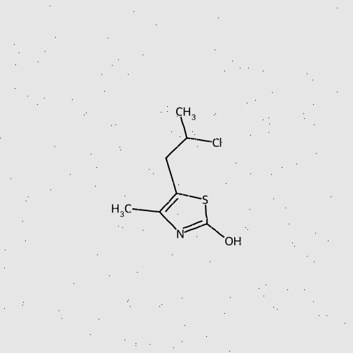 Cc1nc(O)sc1CC(C)Cl